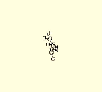 CC(C)Oc1ccc(C(=O)NC(Cc2ccc(-c3ccccc3)cc2)c2nnn[nH]2)cc1Cl